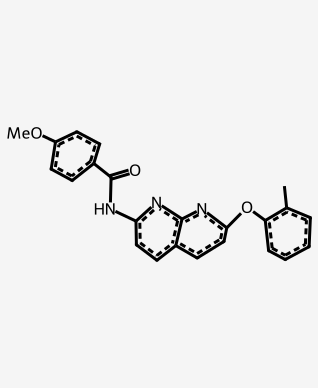 COc1ccc(C(=O)Nc2ccc3ccc(Oc4ccccc4C)nc3n2)cc1